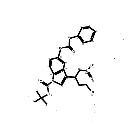 CC(C)(C)OC(=O)n1cc(C(CCO)C[N+](=O)[O-])c2cc(NC(=O)Cc3ccccc3)ccc21